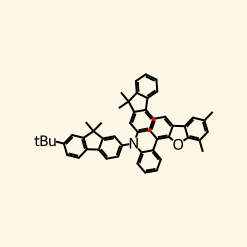 Cc1cc(C)c2oc3c(-c4ccccc4N(c4ccc5c(c4)C(C)(C)c4ccccc4-5)c4ccc5c(c4)C(C)(C)c4cc(C(C)(C)C)ccc4-5)cccc3c2c1